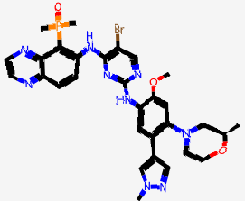 COc1cc(N2CCO[C@H](C)C2)c(-c2cnn(C)c2)cc1Nc1ncc(Br)c(Nc2ccc3nccnc3c2P(C)(C)=O)n1